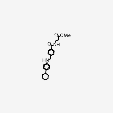 COC(=O)CCNC(=O)c1ccc(CNc2ccc(C3CCCCC3)cc2)cc1